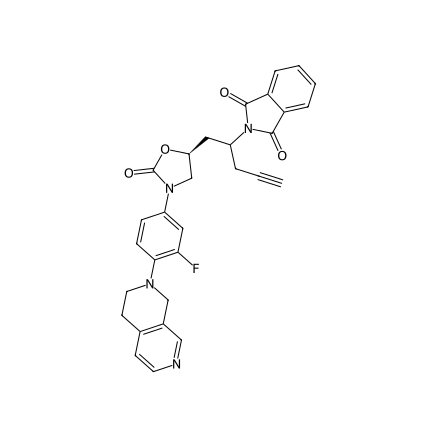 C#CCC(C[C@H]1CN(c2ccc(N3CCc4ccncc4C3)c(F)c2)C(=O)O1)N1C(=O)c2ccccc2C1=O